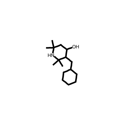 CC1(C)CC(O)C(CC2CCCCC2)C(C)(C)N1